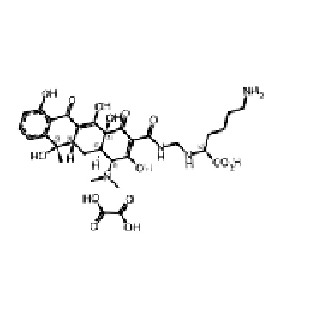 CN(C)[C@@H]1C(O)=C(C(=O)NCN[C@@H](CCCCN)C(=O)O)C(=O)[C@@]2(O)C(O)=C3C(=O)c4c(O)cccc4[C@@](C)(O)[C@H]3C[C@H]12.O=C(O)C(=O)O